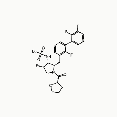 CCS(=O)(=O)N[C@H]1[C@H](F)CN(C(=O)[C@H]2CCCO2)[C@@H]1Cc1cccc(-c2cccc(C)c2F)c1F